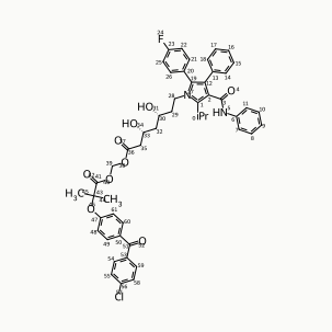 CC(C)c1c(C(=O)Nc2ccccc2)c(-c2ccccc2)c(-c2ccc(F)cc2)n1CC[C@@H](O)C[C@@H](O)CC(=O)OCOC(=O)C(C)(C)Oc1ccc(C(=O)c2ccc(Cl)cc2)cc1